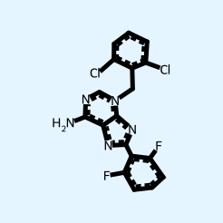 Nc1ncn(Cc2c(Cl)cccc2Cl)c2nc(-c3c(F)cccc3F)nc1-2